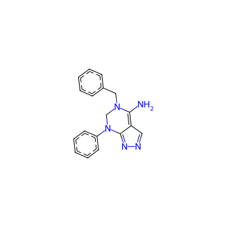 NC1=C2C=NN=C2N(c2ccccc2)CN1Cc1ccccc1